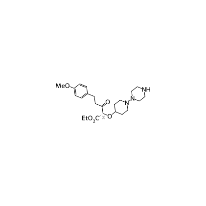 CCOC(=O)[C@@H](OC1CCN(N2CCNCC2)CC1)C(=O)CCc1ccc(OC)cc1